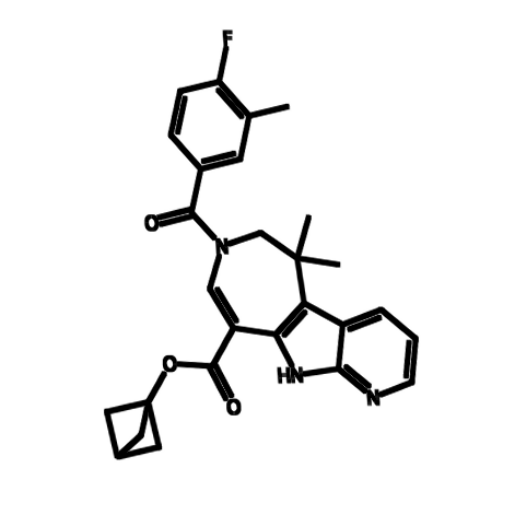 Cc1cc(C(=O)N2C=C(C(=O)OC34CC(C3)C4)c3[nH]c4ncccc4c3C(C)(C)C2)ccc1F